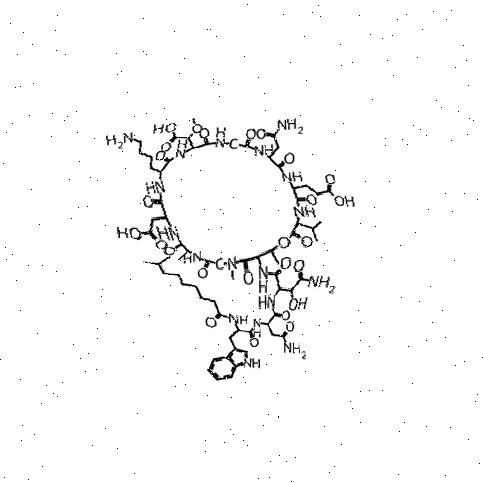 COC(C(=O)O)C1NC(=O)C(CCCCN)NC(=O)C(CC(=O)O)NC(=O)C(C)NC(=O)CN(C)C(=O)C(NC(=O)C(NC(=O)C(CC(N)=O)NC(=O)C(Cc2c[nH]c3ccccc23)NC(=O)CCCCCCC(C)C)C(O)C(N)=O)C(C)OC(=O)C(C(C)C)NC(=O)C(CCC(=O)O)NC(=O)C(CC(N)=O)NC(=O)CNC1=O